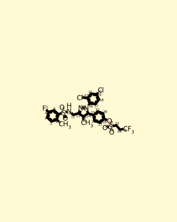 Cc1ccc(F)cc1S(=O)(=O)NCC1=NN(c2ccc(Cl)cc2Cl)C(c2ccc(OS(=O)(=O)CCC(F)(F)F)cc2)C1C